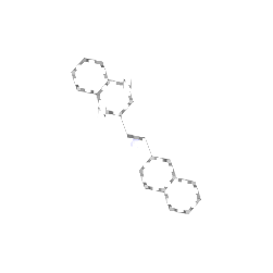 C(=C\c1cnc2ccccc2n1)/c1ccc2ccccc2c1